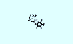 C[N+](C)(CC(=O)Oc1c(F)c(F)c(F)c(F)c1F)CS(=O)(=O)O